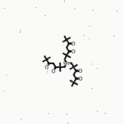 CC(C)(C)C(=O)CC(=O)C(C)(C)[CH2][Sm]([CH2]C(C)(C)C(=O)CC(=O)C(C)(C)C)[CH2]C(C)(C)C(=O)CC(=O)C(C)(C)C